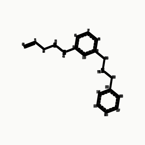 C=CCSSc1cccc(CSCc2ccccc2)c1